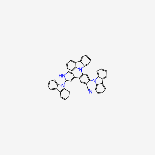 N#Cc1cc(C2=CC(n3c4c(c5ccccc53)C=CCC4)NC=C2)c(-n2c3ccccc3c3ccccc32)cc1-n1c2ccccc2c2ccccc21